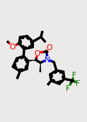 COc1ccc(C(C)C)cc1-c1ccc(C)cc1[C@H]1OC(=O)N(Cc2cc(C)cc(C(F)(F)F)c2)[C@H]1C